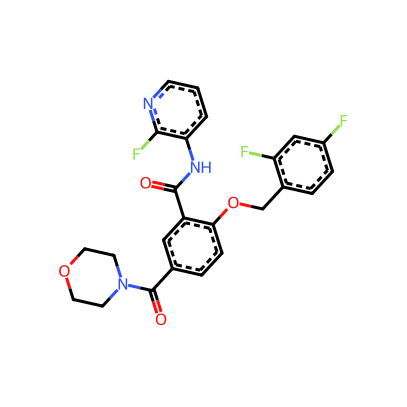 O=C(Nc1cccnc1F)c1cc(C(=O)N2CCOCC2)ccc1OCc1ccc(F)cc1F